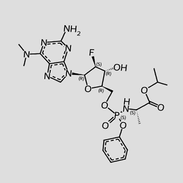 CC(C)OC(=O)[C@H](C)N[P@](=O)(OC[C@H]1O[C@@H](n2cnc3c(N(C)C)nc(N)nc32)[C@@H](F)[C@@H]1O)Oc1ccccc1